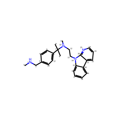 CNCc1ccc(C(C)(C)N(C)CCn2c3ccccc3c3cccnc32)cc1